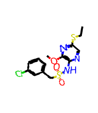 CCSc1cnc(NS(=O)(=O)Cc2cccc(Cl)c2)c(OC)n1